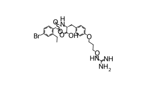 CCc1cc(Br)ccc1S(=O)(=O)N[C@@H](Cc1ccc(OCCCONC(=N)N)cc1)C(=O)O